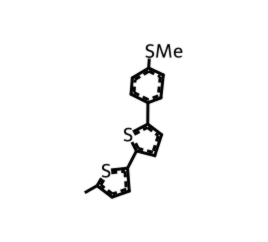 CSc1ccc(-c2ccc(-c3ccc(C)s3)s2)cc1